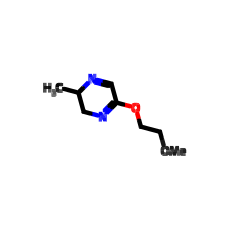 COCCOC1=NCC(C)N=C1